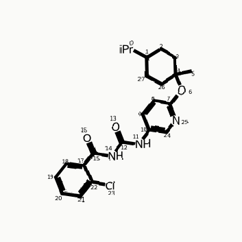 CC(C)C1CCC(C)(Oc2ccc(NC(=O)NC(=O)c3ccccc3Cl)cn2)CC1